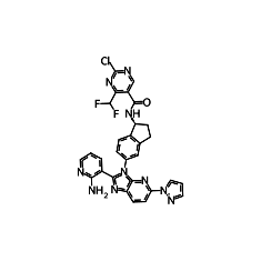 Nc1ncccc1-c1nc2ccc(-n3cccn3)nc2n1-c1ccc2c(c1)CC[C@@H]2NC(=O)c1cnc(Cl)nc1C(F)F